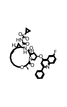 C[C@H]1OCCCC/C=C\[C@@H]2C[C@@]2(C(=O)NS(=O)(=O)C2CC2)NC(=O)[C@@H]2C[C@@H](Oc3cc(-c4ccccc4)nc4ccc(F)cc34)CN2C1=O